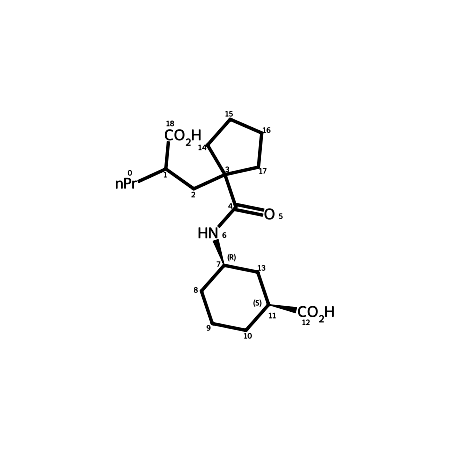 CCCC(CC1(C(=O)N[C@@H]2CCC[C@H](C(=O)O)C2)CCCC1)C(=O)O